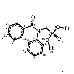 CCOP(=O)(CN(C(=O)c1ccccc1)c1ccccc1)OCC